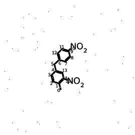 Cc1ccc(Cc2ccc([N+](=O)[O-])cc2)cc1[N+](=O)[O-]